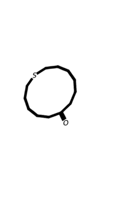 O=C1CCCCCCSCCCCC1